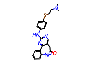 CN(C)CCSc1ccc(Nc2ncc3c(n2)-c2ccccc2NC(=O)C3)cc1